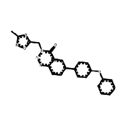 Cc1noc(Cn2nnc3ccc(-c4ccc(Oc5ccccc5)cc4)cc3c2=O)n1